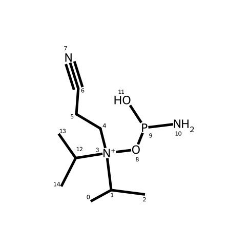 CC(C)[N+](CCC#N)(OP(N)O)C(C)C